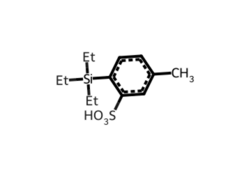 CC[Si](CC)(CC)c1ccc(C)cc1S(=O)(=O)O